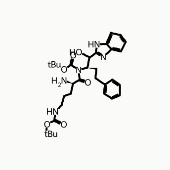 CC(C)(C)OC(=O)NCCC[C@@H](N)C(=O)N(C(=O)OC(C)(C)C)[C@H](CCc1ccccc1)C(O)c1nc2ccccc2[nH]1